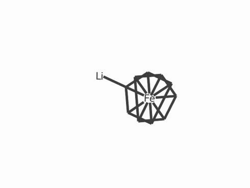 [Li][C]12[CH]3[CH]4[CH]5[CH]1[Fe]45321678[CH]2[CH]1[CH]6[CH]7[CH]28